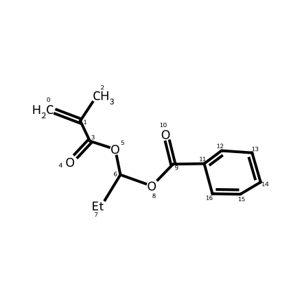 C=C(C)C(=O)OC(CC)OC(=O)c1ccccc1